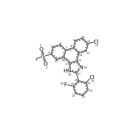 CS(=O)(=O)c1ccc2c3ccc(Cl)cc3c3nc(-c4c(F)cccc4Cl)[nH]c3c2c1